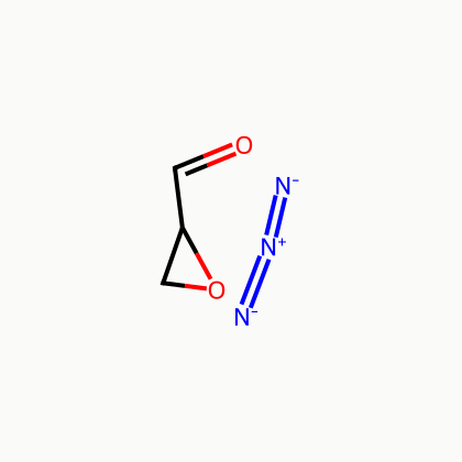 O=CC1CO1.[N-]=[N+]=[N-]